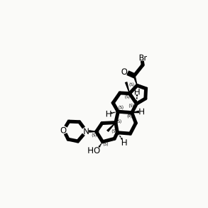 C[C@]12C[C@H](N3CCOCC3)[C@@H](O)C[C@@H]1CC[C@@H]1[C@@H]2CC[C@]2(C)[C@@H](C(=O)CBr)CC[C@@H]12